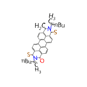 C=c1c2ccc3c4ccc5c6c(ccc(c7ccc(c(=S)n1[C@@H](C)CCCC)c2c37)c64)C(=O)N([C@@H](C)CCCC)C5=S